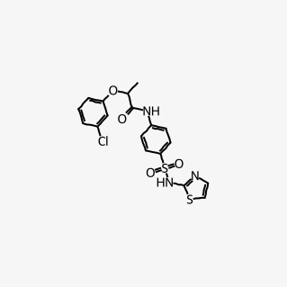 CC(Oc1cccc(Cl)c1)C(=O)Nc1ccc(S(=O)(=O)Nc2nccs2)cc1